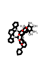 Bc1c(B)c(-c2cc(-c3ccccc3)cc(-n3c4ccccc4c4ccc5c6ccccc6n(-c6nc(-c7ccccc7)nc(-c7cccc(-c8ccccc8)c7)n6)c5c43)c2)c(O)c(B)c1O